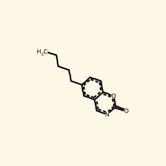 CCCCCc1ccc2oc(=O)ncc2c1